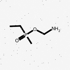 CCP(C)(=O)OCN